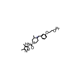 Cc1noc(NC(=O)N2CC/C(=C\c3cccc(OCCOC(C)C)c3)C(C)C2)c1C